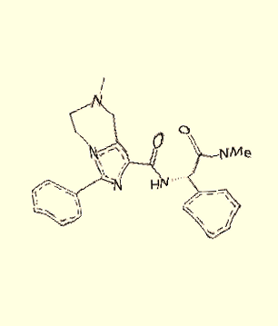 CNC(=O)[C@@H](NC(=O)c1nc(-c2ccccc2)n2c1CN(C)CC2)c1ccccc1